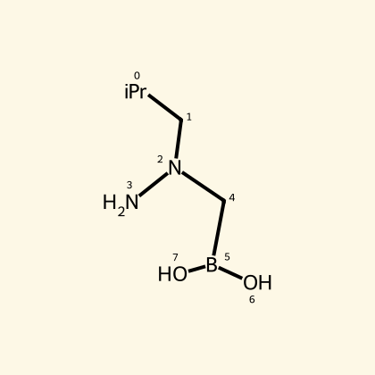 CC(C)CN(N)CB(O)O